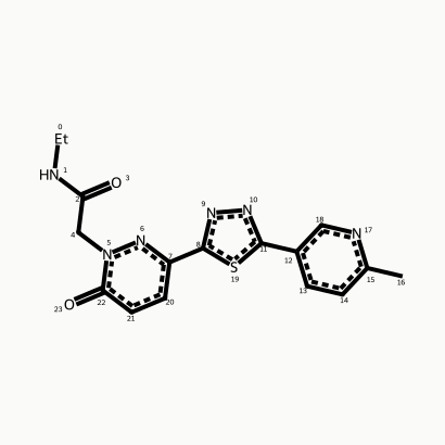 CCNC(=O)Cn1nc(-c2nnc(-c3ccc(C)nc3)s2)ccc1=O